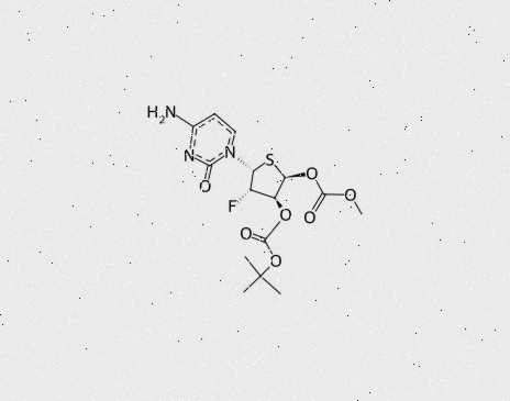 COC(=O)O[C@@H]1S[C@@H](n2ccc(N)nc2=O)[C@@H](F)[C@@H]1OC(=O)OC(C)(C)C